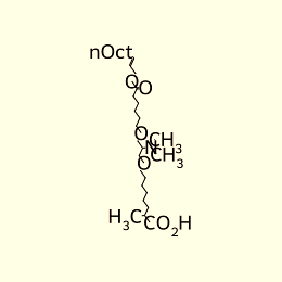 CCCCCCCCC=CCOC(=O)CCCCCOCC(COCCCCCCC(C)C(=O)O)N(C)C